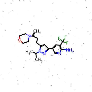 C=C(CCc1cc(-c2cnc(N)c(C(F)(F)F)c2)nn1C(C)C)N1CCOCC1